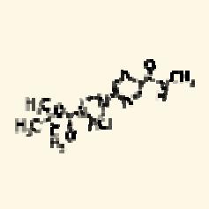 CNC(=O)c1cnc(N2CCN(C(=O)OC(C)(C)C)CC2)cn1.Cl